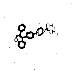 CC(C)N1CCN(c2ccc(C3=C(c4ccccc4)COc4ccccc43)cc2)CC1